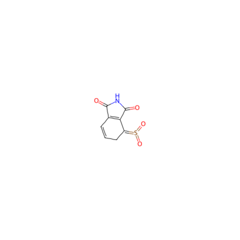 O=C1NC(=O)C2=C1C=CCC2=S(=O)=O